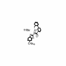 Br.COc1ccc2nc(NC(=O)c3cccc(-c4ccccc4I)c3)sc2c1